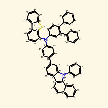 c1ccc(-c2ccc(N(c3ccc(-c4ccc5c6ccc7ccccc7c6n(-c6ccccc6)c5c4)cc3)c3cccc4c3sc3ccccc34)cc2-c2ccccc2)cc1